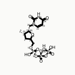 C[C@H]1CC(COP(=O)(O)OP(=O)(O)OP(=O)(O)O)O[C@H]1Cn1ccc(=O)[nH]c1=O